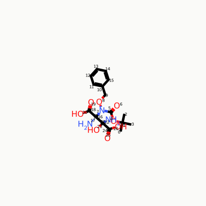 CC(C)(C)OC(=O)N(OCc1ccccc1)[C@](N)(C(=O)O)C(N)(O)C(=O)O